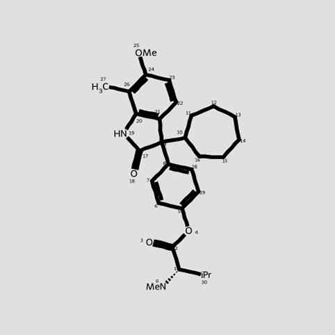 CN[C@H](C(=O)Oc1ccc(C2(C3CCCCCC3)C(=O)Nc3c2ccc(OC)c3C)cc1)C(C)C